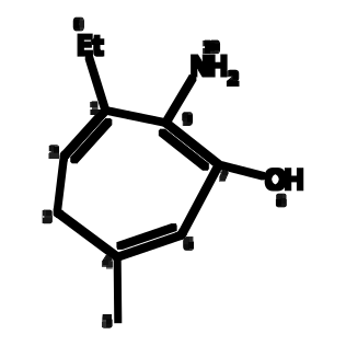 CCC1=CCC(C)=CC(O)=C1N